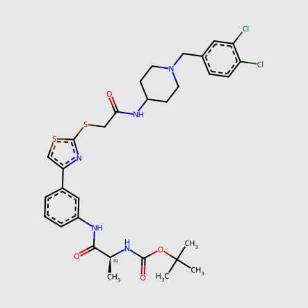 C[C@H](NC(=O)OC(C)(C)C)C(=O)Nc1cccc(-c2csc(SCC(=O)NC3CCN(Cc4ccc(Cl)c(Cl)c4)CC3)n2)c1